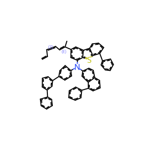 C=C/C=C\C=C(/C)c1cc(N(c2ccc(-c3cccc(-c4ccccc4)c3)cc2)c2ccc3cccc(-c4ccccc4)c3c2)c2sc3c(-c4ccccc4)cccc3c2c1